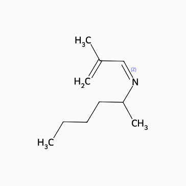 C=C(C)/C=N\C(C)CCCC